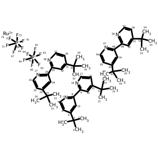 CC(C)(C)c1ccnc(-c2cc(C(C)(C)C)ccn2)c1.CC(C)(C)c1ccnc(-c2cc(C(C)(C)C)ccn2)c1.CC(C)(C)c1ccnc(-c2cc(C(C)(C)C)ccn2)c1.F[P-](F)(F)(F)(F)F.F[P-](F)(F)(F)(F)F.[Ru+2]